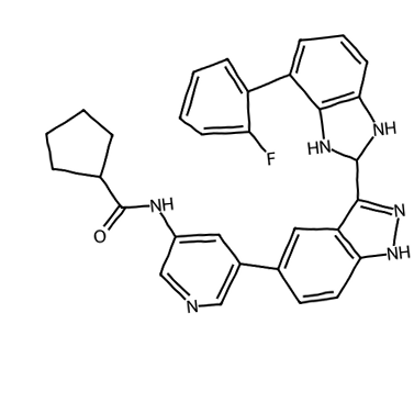 O=C(Nc1cncc(-c2ccc3[nH]nc(C4Nc5cccc(-c6ccccc6F)c5N4)c3c2)c1)C1CCCC1